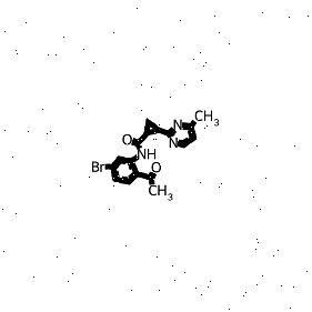 CC(=O)c1ccc(Br)cc1NC(=O)C1CC1c1nccc(C)n1